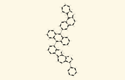 c1ccc(-c2csc3c2ccc2c4cccc(-c5c6ccccc6c(-c6ccc7c(ccc8oc9ccccc9c87)c6)c6ccccc56)c4oc23)cc1